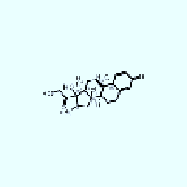 CCCC[C@@H]1C[C@H]2[C@@H]3CCC4=CC(=O)C=C[C@]4(C)C3=CC[C@]2(C)[C@@]1(O)C(=O)CO